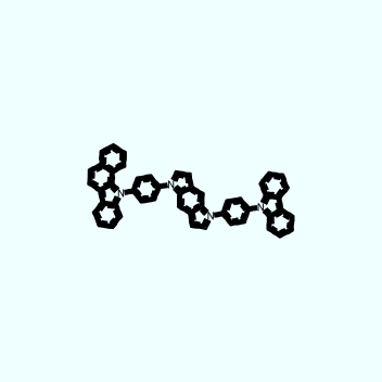 c1ccc2c(c1)ccc1c3ccccc3n(-c3ccc(-n4ccc5cc6c(ccn6-c6ccc(-n7c8ccccc8c8ccccc87)cc6)cc54)cc3)c21